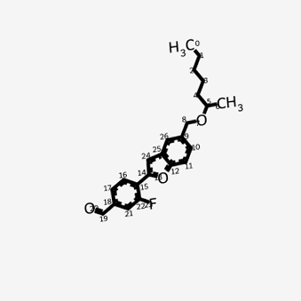 CCCCCC(C)OCc1ccc2oc(-c3ccc(C=O)cc3F)cc2c1